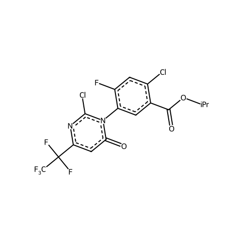 CC(C)OC(=O)c1cc(-n2c(Cl)nc(C(F)(F)C(F)(F)F)cc2=O)c(F)cc1Cl